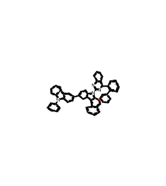 c1ccc(-c2ccccc2-c2nc(-n3c4ccc(-c5ccc6c(c5)c5ccccc5n6-c5ccccc5)cc4c4c5ccccc5ccc43)nc3ccccc23)cc1